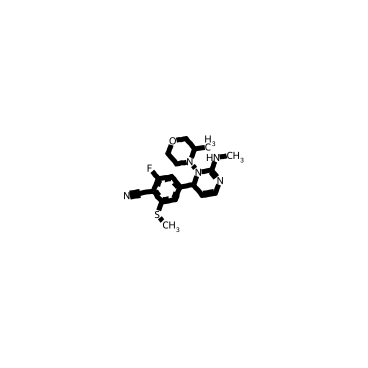 CNC1=NC=CC(c2cc(F)c(C#N)c(SC)c2)N1N1CCOCC1C